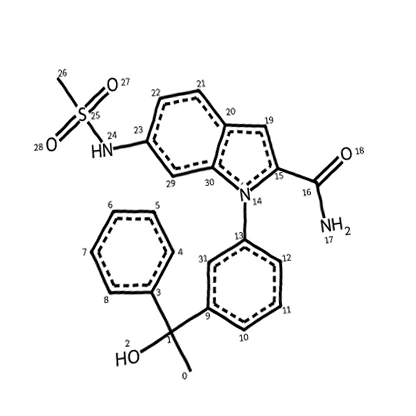 CC(O)(c1ccccc1)c1cccc(-n2c(C(N)=O)cc3ccc(NS(C)(=O)=O)cc32)c1